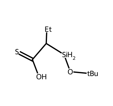 CCC([SiH2]OC(C)(C)C)C(O)=S